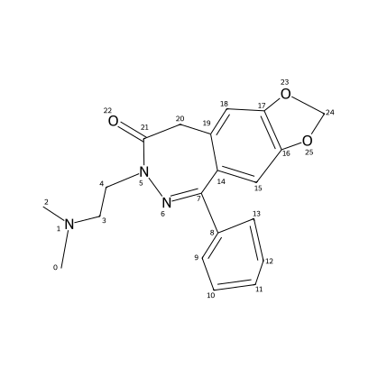 CN(C)CCN1N=C(c2ccccc2)c2cc3c(cc2CC1=O)OCO3